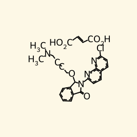 CN(C)CCCCOC1c2ccccc2C(=O)N1c1ccc2ccc(Cl)nc2n1.O=C(O)C=CC(=O)O